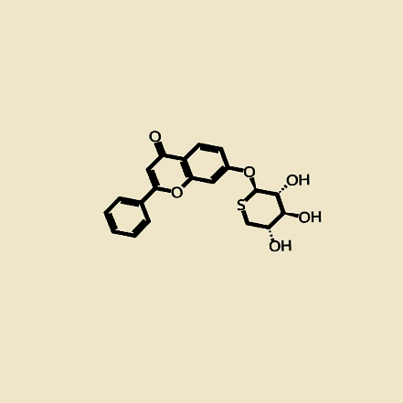 O=c1cc(-c2ccccc2)oc2cc(O[C@@H]3SC[C@@H](O)[C@H](O)[C@H]3O)ccc12